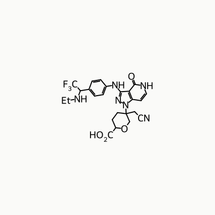 CCNC(c1ccc(Nc2nn(C3(CC#N)CCC(C(=O)O)OC3)c3cc[nH]c(=O)c23)cc1)C(F)(F)F